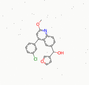 COc1cc(-c2cccc(Cl)c2)c2cc(C(O)c3ccoc3)ccc2n1